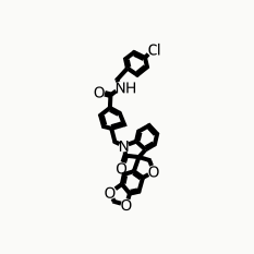 O=C(NCc1ccc(Cl)cc1)c1ccc(CN2C(=O)C3(COc4cc5c(cc43)OCO5)c3ccccc32)cc1